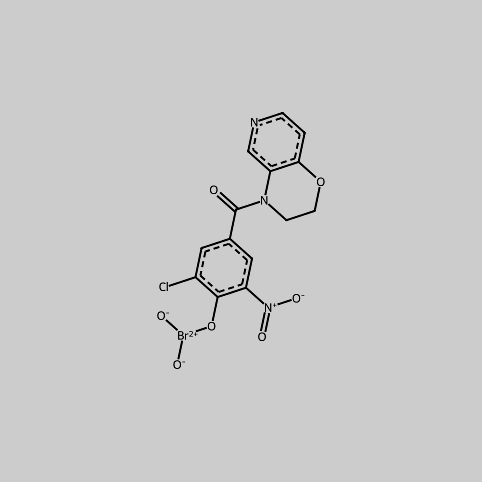 O=C(c1cc(Cl)c(O[Br+2]([O-])[O-])c([N+](=O)[O-])c1)N1CCOc2ccncc21